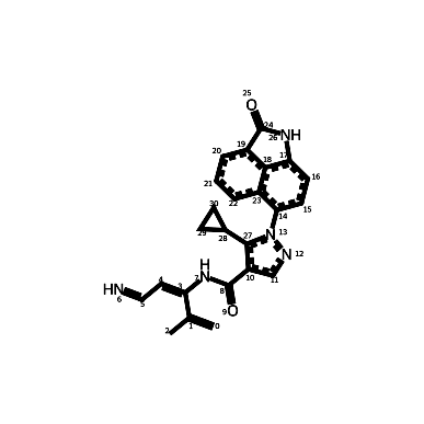 C=C(C)/C(=C\C=N)NC(=O)c1cnn(-c2ccc3c4c(cccc24)C(=O)N3)c1C1CC1